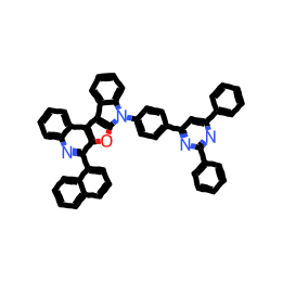 c1ccc(-c2cc(-c3ccc(-n4c5ccccc5c5c6c(oc54)c(-c4cccc5ccccc45)nc4ccccc46)cc3)nc(-c3ccccc3)n2)cc1